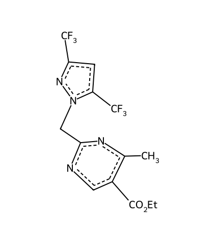 CCOC(=O)c1cnc(Cn2nc(C(F)(F)F)cc2C(F)(F)F)nc1C